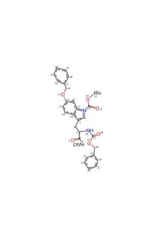 COC(=O)C(Cc1cn(C(=O)OC(C)(C)C)c2cc(OCc3ccccc3)ccc12)NC(=O)OCc1ccccc1